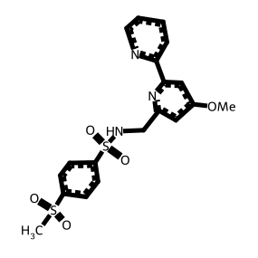 COc1cc(CNS(=O)(=O)c2ccc(S(C)(=O)=O)cc2)nc(-c2ccccn2)c1